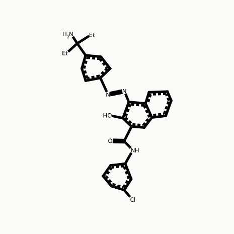 CCC(N)(CC)c1ccc(N=Nc2c(O)c(C(=O)Nc3cccc(Cl)c3)cc3ccccc23)cc1